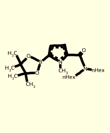 CCCCCCN(CCCCCC)C(=O)c1ccc(B2OC(C)(C)C(C)(C)O2)n1C